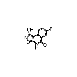 Cc1noc2[nH]c(=O)c3cc(F)ccc3c12